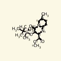 COC(=O)c1nc2ccc(C)cn2c(=O)c1O[Si](C)(C)C(C)(C)C